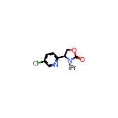 CC(C)N1C(=O)OCC1c1ccc(Cl)cn1